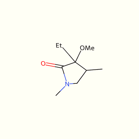 CCC1(OC)C(=O)N(C)CC1C